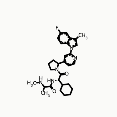 CNC(C)C(=O)N[C@H](C(=O)N1CCCC1c1ccnc(-n2cc(C)c3cc(F)ccc32)c1)C1CCCCC1